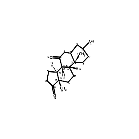 C[C@]12CCC(O)CC1CC(=O)[C@@H]1[C@H]2CC[C@]2(C)C(=O)CC[C@@H]12